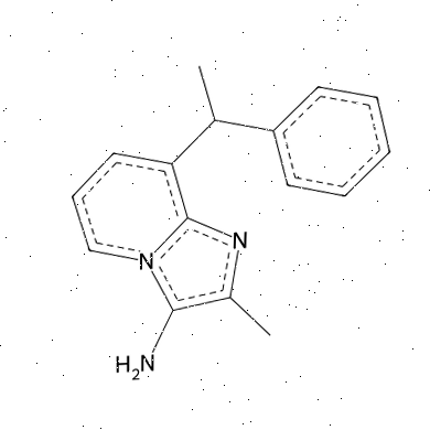 Cc1nc2c(C(C)c3ccccc3)cccn2c1N